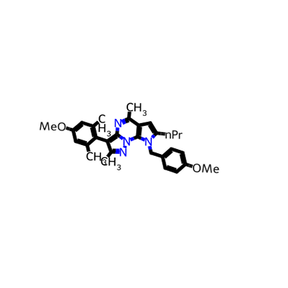 CCCc1cc2c(C)nc3c(-c4c(C)cc(OC)cc4C)c(C)nn3c2n1Cc1ccc(OC)cc1